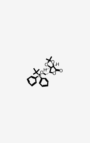 CC1(C)O[C@@H]2[C@@H](CO[Si](c3ccccc3)(c3ccccc3)C(C)(C)C)OC(=O)[C@@H]2O1